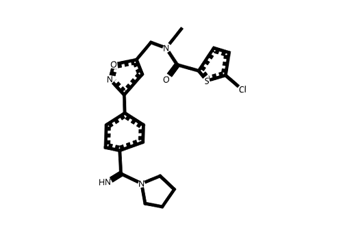 CN(Cc1cc(-c2ccc(C(=N)N3CCCC3)cc2)no1)C(=O)c1ccc(Cl)s1